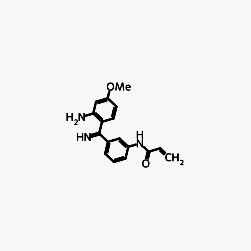 C=CC(=O)Nc1cccc(C(=N)c2ccc(OC)cc2N)c1